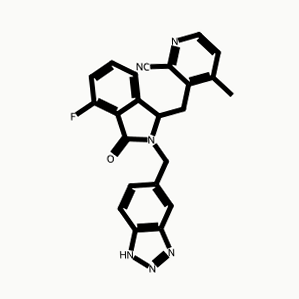 Cc1ccnc(C#N)c1CC1c2cccc(F)c2C(=O)N1Cc1ccc2[nH]nnc2c1